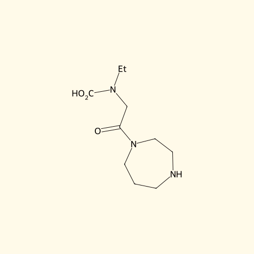 CCN(CC(=O)N1CCCNCC1)C(=O)O